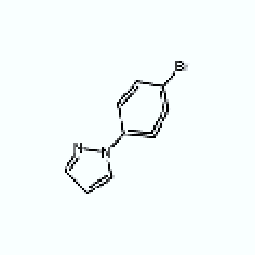 BrC1=C=C=C(n2cccn2)C=C1